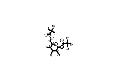 CC1C(COC(=O)C(C)(C)C)OC(OC(=O)C(C)(C)C)C(C)C1C